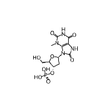 Cn1c(=O)[nH]c(=O)c2[nH]c(=O)n([C@H]3C[C@H](OP(=O)(O)O)[C@@H](CO)O3)c21